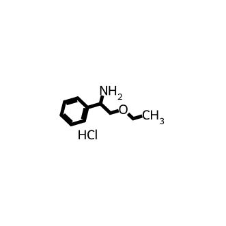 CCOCC(N)c1ccccc1.Cl